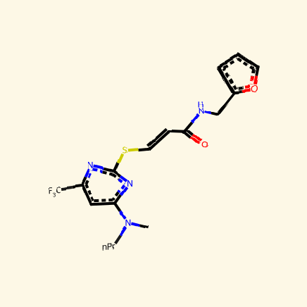 CCCN(C)c1cc(C(F)(F)F)nc(SC=CC(=O)NCc2ccco2)n1